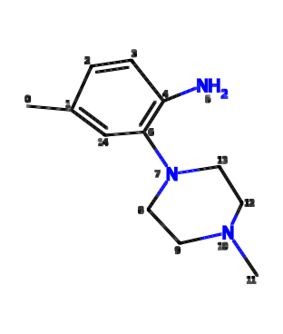 Cc1ccc(N)c(N2CCN(C)CC2)c1